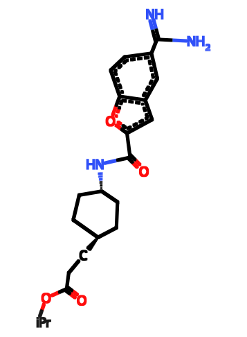 CC(C)OC(=O)CC[C@H]1CC[C@H](NC(=O)c2cc3cc(C(=N)N)ccc3o2)CC1